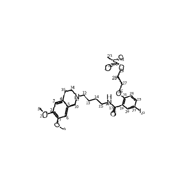 COc1cc2c(cc1OC)CN(CCCCNC(=O)c1cc(I)ccc1OCCOS(C)(=O)=O)CC2